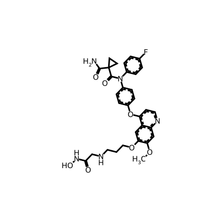 COc1cc2nccc(Oc3ccc(N(C(=O)C4(C(N)=O)CC4)c4ccc(F)cc4)cc3)c2cc1OCCCNCC(=O)NO